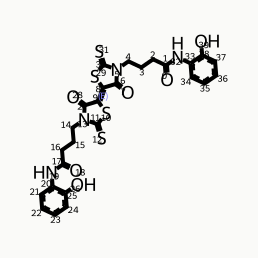 O=C(CCCN1C(=O)/C(=C2\SC(=S)N(CCCC(=O)Nc3ccccc3O)C2=O)SC1=S)Nc1ccccc1O